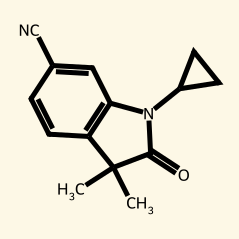 CC1(C)C(=O)N(C2CC2)c2cc(C#N)ccc21